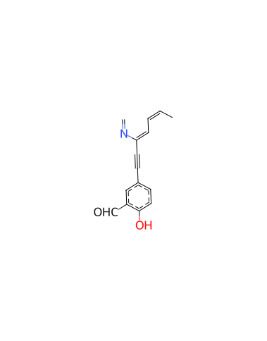 C=N/C(C#Cc1ccc(O)c(C=O)c1)=C\C=C/C